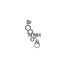 O=C(CN1CCCCC1)Nc1cc2cc(Br)ccc2cn1